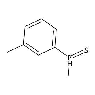 Cc1cccc([PH](C)=S)c1